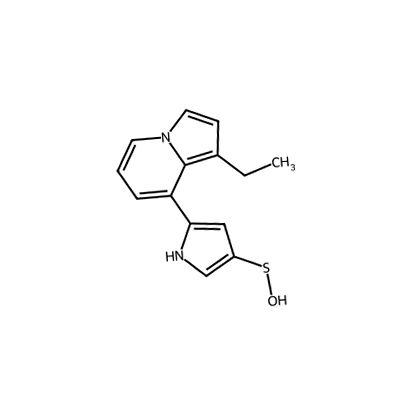 CCc1ccn2cccc(-c3cc(SO)c[nH]3)c12